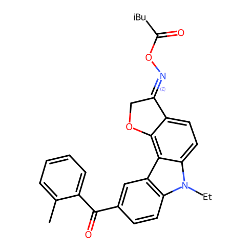 CCC(C)C(=O)O/N=C1\COc2c1ccc1c2c2cc(C(=O)c3ccccc3C)ccc2n1CC